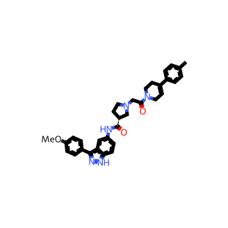 COc1ccc(-c2n[nH]c3ccc(NC(=O)[C@@H]4CCN(CC(=O)N5CC=C(c6ccc(C)cc6)CC5)C4)cc23)cc1